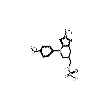 Cn1cc2c(n1)CC(CNS(C)(=O)=O)CN2c1ccc(OC(F)(F)F)cc1